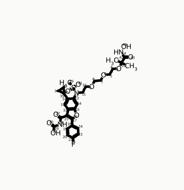 CC(C)(OCCOCCOCCN(c1cc2oc(-c3ccc(F)cc3)c(C(=O)NC(=O)O)c2cc1C1CC1)S(C)(=O)=O)C(=O)NO